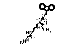 CNC(=O)[C@H](CCCCNC(=O)CN=[N+]=[N-])NC(=O)OCC1c2ccccc2-c2ccccc21